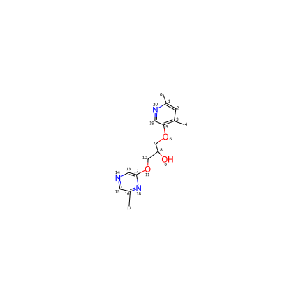 Cc1cc(C)c(OCC(O)COc2cncc(C)n2)cn1